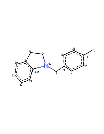 Cc1ccc(CN2[CH]Cc3ccccc32)cc1